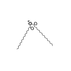 CCCCCCCCCCCCCCCC(=O)c1cscc1C(=O)CCCCCCCCCCCCCCC